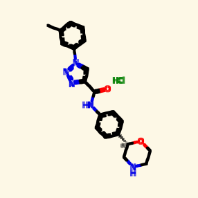 Cc1cccc(-n2cc(C(=O)Nc3ccc([C@H]4CNCCO4)cc3)nn2)c1.Cl